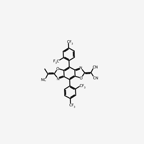 C/C(C#N)=c1/nc2c(-c3ccc(C(F)(F)F)cc3C(F)(F)F)c3oc(=C(C#N)C#N)nc3c(-c3ccc(C(F)(F)F)cc3C(F)(F)F)c2o1